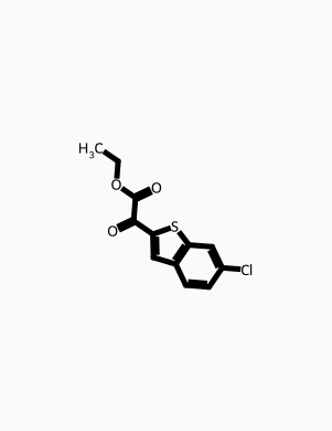 CCOC(=O)C(=O)c1cc2ccc(Cl)cc2s1